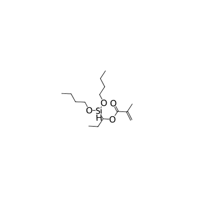 C=C(C)C(=O)OC(CC)[SiH](OCCCC)OCCCC